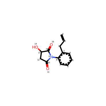 C=CCc1ccccc1N1C(=O)CC(O)C1=O